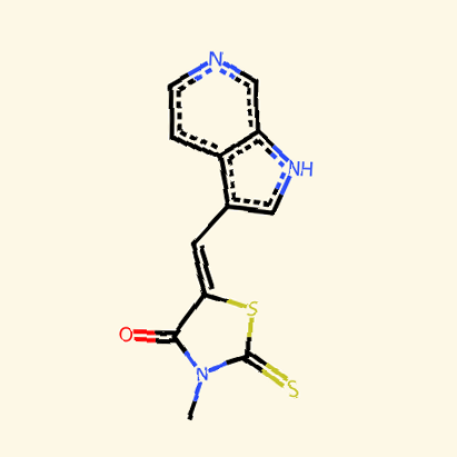 CN1C(=O)/C(=C/c2c[nH]c3cnccc23)SC1=S